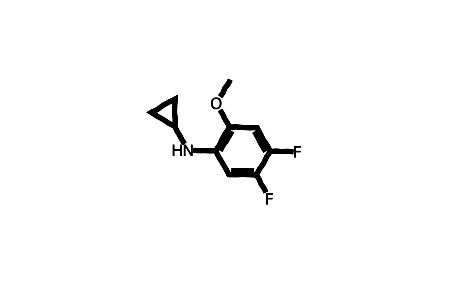 COc1cc(F)c(F)cc1NC1CC1